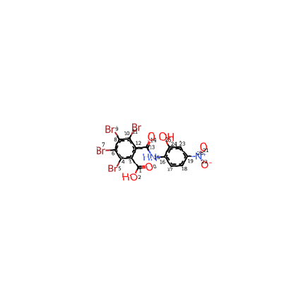 O=C(O)c1c(Br)c(Br)c(Br)c(Br)c1C(=O)Nc1ccc([N+](=O)[O-])cc1O